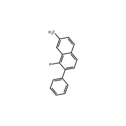 Cc1ccc2ccc(-c3ccccc3)c(F)c2c1